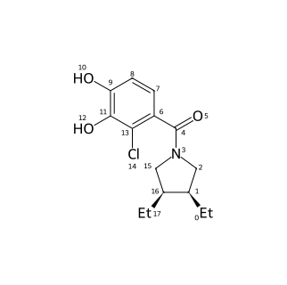 CC[C@@H]1CN(C(=O)c2ccc(O)c(O)c2Cl)C[C@@H]1CC